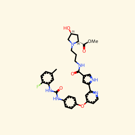 COC(=O)[C@H]1C[C@H](O)CN1CCCNC(=O)c1c[nH]c(-c2cc(Oc3ccc(NC(=O)Nc4cc(C)ccc4F)cc3)ccn2)c1